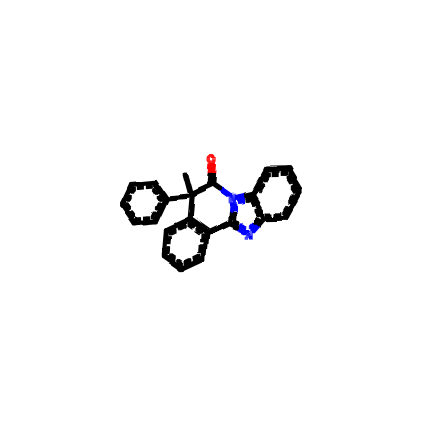 CC1(c2ccccc2)C(=O)n2c(nc3ccccc32)-c2ccccc21